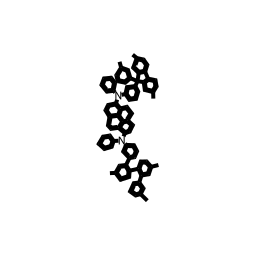 Cc1cccc(-c2cc(C)ccc2-c2ccc(C)cc2-c2cccc(N(c3ccccc3)c3ccc4ccc5c(N(c6ccccc6)c6cccc(C7(c8cccc(C)c8)c8cc(C)ccc8-c8ccc(C)cc87)c6)ccc6ccc3c4c65)c2)c1